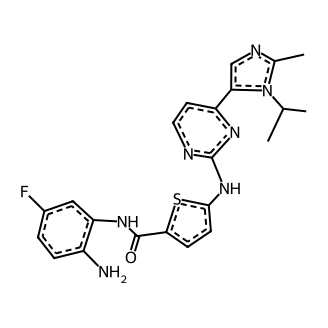 Cc1ncc(-c2ccnc(Nc3ccc(C(=O)Nc4cc(F)ccc4N)s3)n2)n1C(C)C